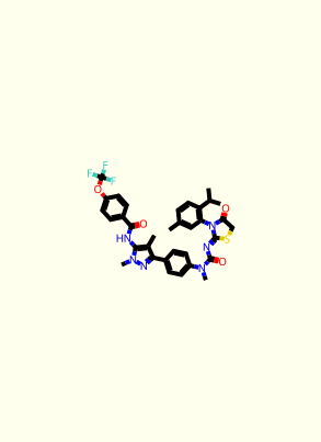 Cc1ccc(C(C)C)c(N2C(=O)CS/C2=N\C(=O)N(C)c2ccc(-c3nn(C)c(NC(=O)c4ccc(OC(F)(F)F)cc4)c3C)cc2)c1